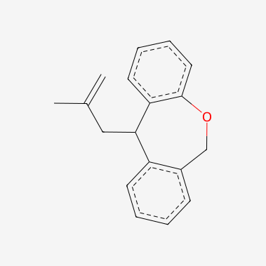 C=C(C)CC1c2ccccc2COc2ccccc21